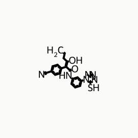 C=CC/C(O)=C(/C(=O)Nc1cccc(-n2nnnc2S)c1)c1ccc(C#N)cc1